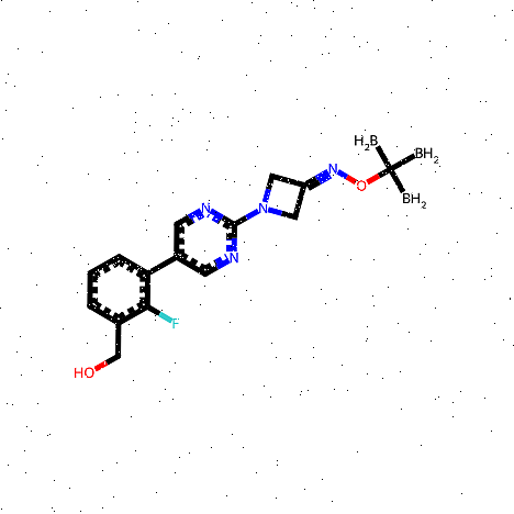 BC(B)(B)ON=C1CN(c2ncc(-c3cccc(CO)c3F)cn2)C1